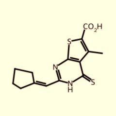 Cc1c(C(=O)O)sc2nc(C=C3CCCC3)[nH]c(=S)c12